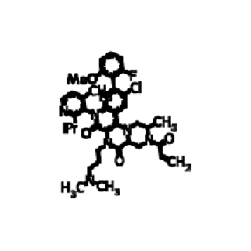 C=CC(=O)N1CC2C(=O)N(CCCN(C)C)c3c(c4cc(Cl)c(-c5c(F)cccc5OC)nc4n(-c4c(C)ccnc4C(C)C)c3=O)N2CC1C